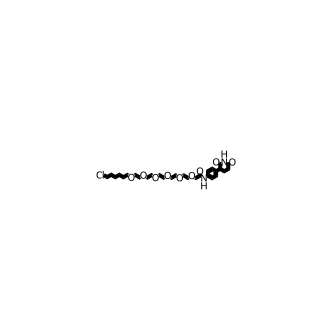 O=C1CCC(c2ccc(NC(=O)COCCOCCOCCOCCOCCOCCCCCCCl)cc2)C(=O)N1